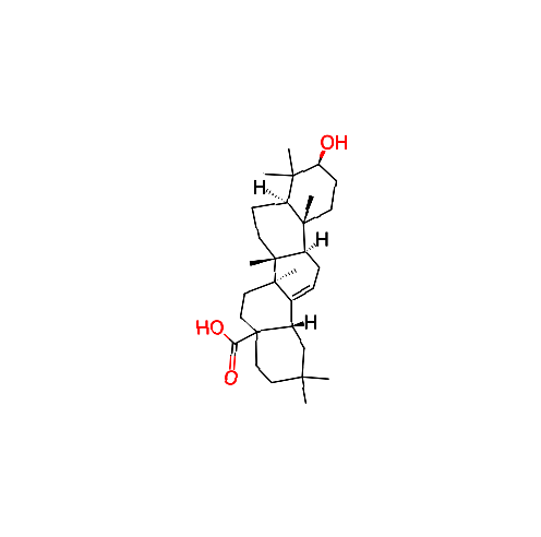 CC1(C)CCC2(C(=O)O)CC[C@]3(C)C(=CC[C@@H]4[C@@]5(C)CC[C@H](O)C(C)(C)[C@@H]5CC[C@]43C)[C@@H]2C1